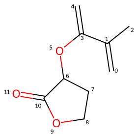 C=C(C)C(=C)OC1CCOC1=O